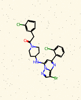 O=C(Cc1cccc(Cl)c1)N1CCC(Nc2cc(-c3ccccc3Cl)nc3c(Br)cnn23)CC1